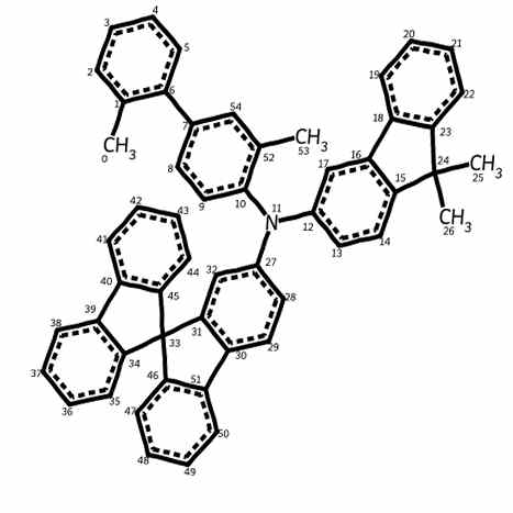 Cc1ccccc1-c1ccc(N(c2ccc3c(c2)-c2ccccc2C3(C)C)c2ccc3c(c2)C2(c4ccccc4-c4ccccc42)c2ccccc2-3)c(C)c1